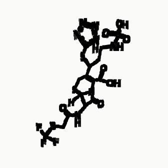 O=C(CSC(F)(F)F)NC1C(=O)N2C(C(=O)O)=C(C(CCNS(=O)(=O)O)Sc3nnn[nH]3)CS[C@@H]12